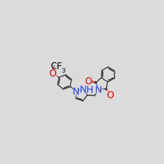 O=C1c2ccccc2C(=O)N1CC1C=CN(c2ccc(OC(F)(F)F)cc2)N1